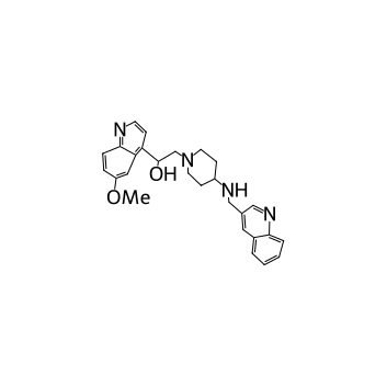 COc1ccc2nccc(C(O)CN3CCC(NCc4cnc5ccccc5c4)CC3)c2c1